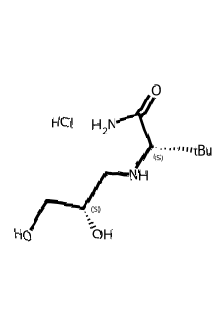 CC(C)(C)[C@H](NC[C@H](O)CO)C(N)=O.Cl